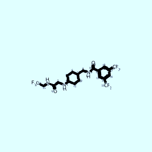 O=C(CNC1CCC(CNC(=O)c2cc(C(F)(F)F)cc(C(F)(F)F)c2)CC1)NCC(F)(F)F